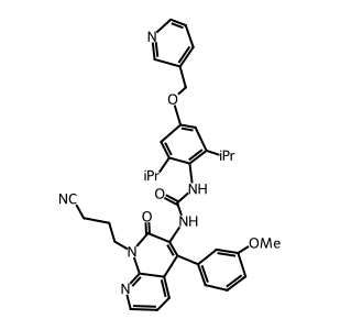 COc1cccc(-c2c(NC(=O)Nc3c(C(C)C)cc(OCc4cccnc4)cc3C(C)C)c(=O)n(CCCC#N)c3ncccc23)c1